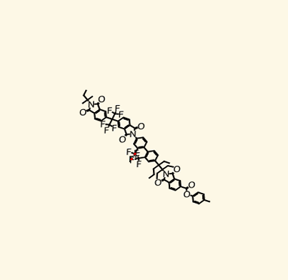 CCCC(CC)(c1ccc(-c2ccc(N3C(=O)c4ccc(C(c5ccc6c(c5)C(=O)N(C(C)(C)CC)C6=O)(C(F)(F)F)C(F)(F)F)cc4C3=O)cc2C(F)(F)F)c(C(F)(F)F)c1)C(CC)(CC)N1C(=O)c2ccc(C(=O)Oc3ccc(C)cc3)cc2C1=O